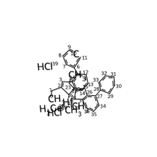 CCC1=Cc2c(-c3ccccc3)cccc2[CH]1[Hf]([CH3])([CH3])(=[GeH2])[CH]1C(CC)=Cc2c(-c3ccccc3)cccc21.Cl.Cl